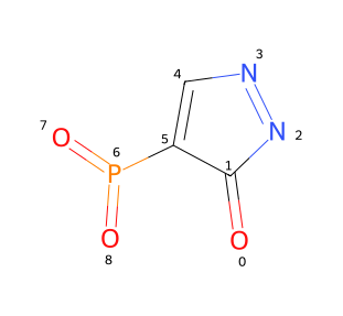 O=C1N=NC=C1P(=O)=O